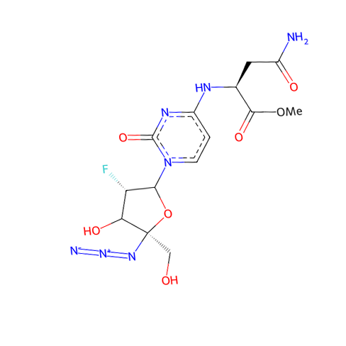 COC(=O)[C@H](CC(N)=O)Nc1ccn(C2O[C@@](CO)(N=[N+]=[N-])C(O)[C@@H]2F)c(=O)n1